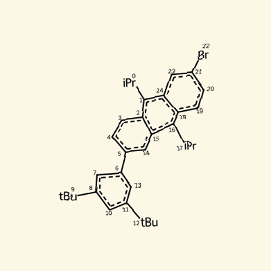 CC(C)c1c2ccc(-c3cc(C(C)(C)C)cc(C(C)(C)C)c3)cc2c(C(C)C)c2ccc(Br)cc12